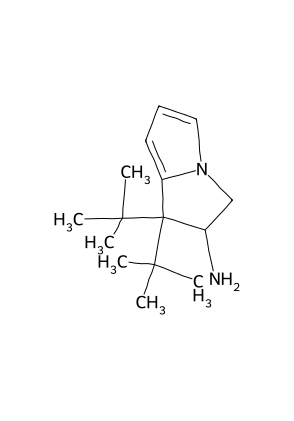 CC(C)(C)C1(C(C)(C)C)c2cccn2CC1N